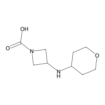 O=C(O)N1CC(NC2CCOCC2)C1